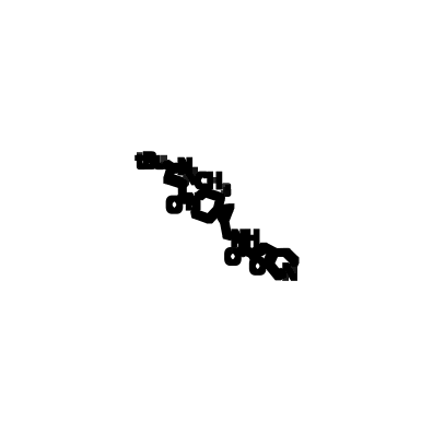 Cn1nc(C(C)(C)C)cc1C(=O)N1CCC2(CC1)CC2CNC(=O)c1cc2c(o1)C=NCC2